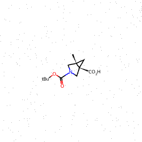 CC(C)(C)OC(=O)N1C[C@]2(C)C[C@]2(C(=O)O)C1